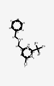 FC(F)(F)c1nc(Cl)cc(COCc2ccccc2)n1